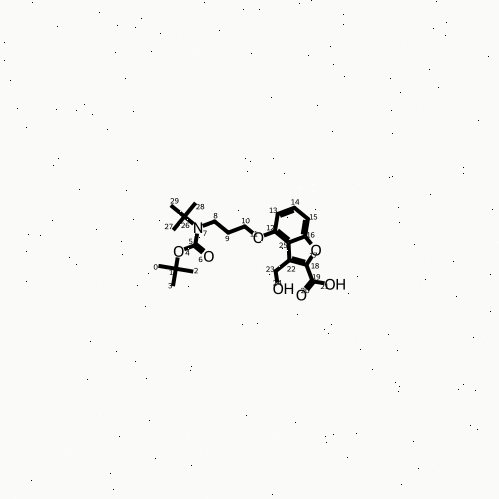 CC(C)(C)OC(=O)N(CCCOc1cccc2oc(C(=O)O)c(CO)c12)C(C)(C)C